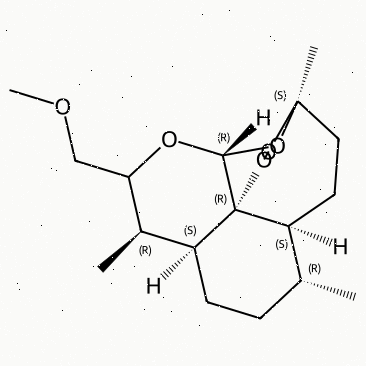 COCC1O[C@@H]2O[C@]3(C)CC[C@H]4[C@H](C)CC[C@@H]([C@H]1C)[C@@]24OO3